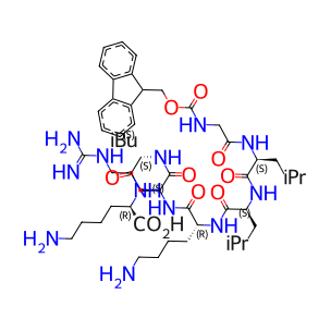 CC[C@H](C)[C@H](NC(=O)[C@H](CCCNC(=N)N)NC(=O)[C@@H](CCCCN)NC(=O)[C@H](CC(C)C)NC(=O)[C@H](CC(C)C)NC(=O)CNC(=O)OCC1c2ccccc2-c2ccccc21)C(=O)N[C@H](CCCCN)C(=O)O